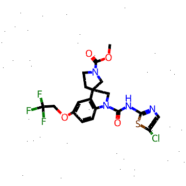 COC(=O)N1CCC2(C1)CN(C(=O)Nc1ncc(Cl)s1)c1ccc(OCC(F)(F)F)cc12